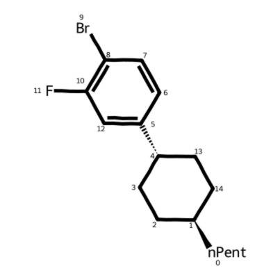 CCCCC[C@H]1CC[C@H](c2ccc(Br)c(F)c2)CC1